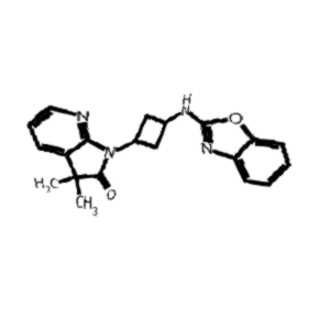 CC1(C)C(=O)N(C2CC(Nc3nc4ccccc4o3)C2)c2ncccc21